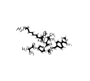 Cc1ncsc1-c1ccc(CNC(=O)[C@@H]2C[C@@H](OC(=O)C(C)C)CN2C(=O)[C@@H](NC(=O)CCCCCCN)C(C)(C)C)cc1